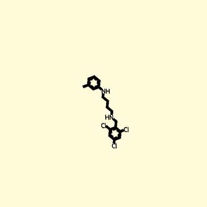 Cc1cccc(NCCCCNCc2c(Cl)cc(Cl)cc2Cl)c1